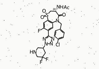 CC(=O)N[C@H]1CS(=O)(=O)c2cc(F)c(-c3nnn(C4CNCC(F)(F)C4)n3)cc2N(Cc2ccc(Cl)cc2)C1=O